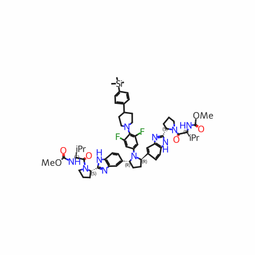 COC(=O)N[C@H](C(=O)N1CCC[C@H]1c1nc2cc([C@H]3CC[C@H](c4ccc5[nH]c([C@@H]6CCCN6C(=O)[C@@H](NC(=O)OC)C(C)C)nc5c4)N3c3cc(F)c(N4CCC(c5ccc([Si](C)(C)C)cc5)CC4)c(F)c3)ccc2[nH]1)C(C)C